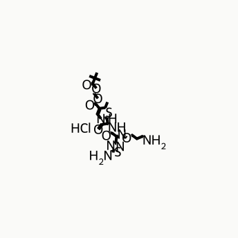 CC1S[C@@H]2C(NC(=O)C(=NOCCCN)c3nsc(N)n3)C(=O)N2C=C1C(=O)OCOC(=O)C(C)(C)C.Cl